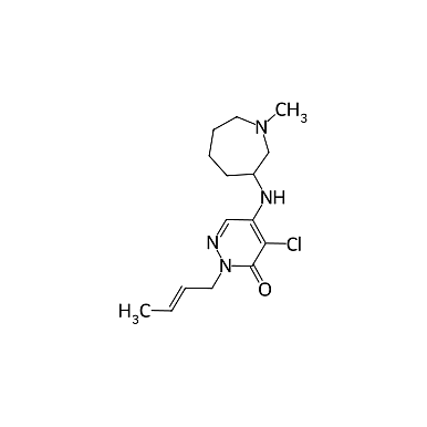 CC=CCn1ncc(NC2CCCCN(C)C2)c(Cl)c1=O